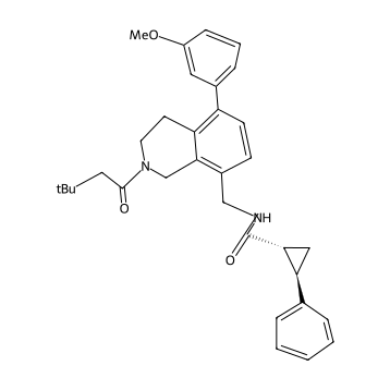 COc1cccc(-c2ccc(CNC(=O)[C@@H]3C[C@H]3c3ccccc3)c3c2CCN(C(=O)CC(C)(C)C)C3)c1